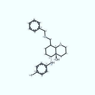 O[C@]12CCCOC1C(COCc1ccccc1)CC[C@H]2Nc1ccc(F)cc1